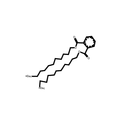 CCCCCCCCCCCCCCCCCCCCOC(=O)c1ccccc1C(=O)OCCCCCCCCCCCCCCCCCCCC